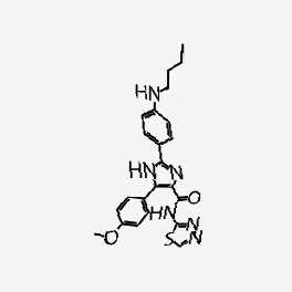 CCCCNc1ccc(-c2nc(C(=O)Nc3nncs3)c(-c3ccc(OC)cc3)[nH]2)cc1